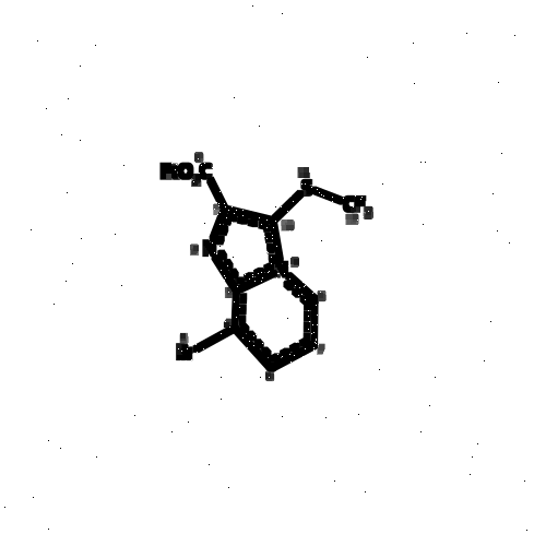 CCOC(=O)c1nc2c(Br)cccn2c1SC(F)(F)F